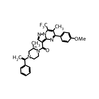 C=C(c1ccccc1)N1CCN(C(=O)c2cnn3c(C(F)(F)F)c(C)c(-c4ccc(OC)cc4)nc23)[C@H](C)C1